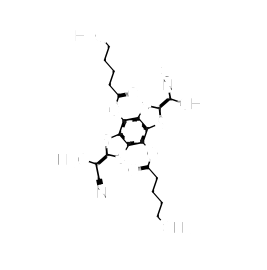 [C-]#[N+]C(C)=C1Sc2c(OC(=O)CCCCC)c3c(c(OC(=O)CCCCC)c2S1)SC(=C(C)C#N)S3